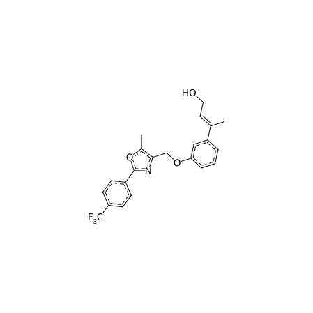 CC(=CCO)c1cccc(OCc2nc(-c3ccc(C(F)(F)F)cc3)oc2C)c1